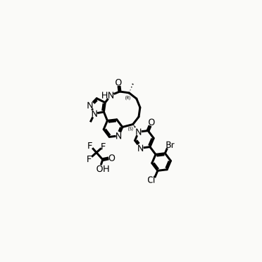 C[C@@H]1CCC[C@H](n2cnc(-c3cc(Cl)ccc3Br)cc2=O)c2cc(ccn2)-c2c(cnn2C)NC1=O.O=C(O)C(F)(F)F